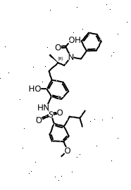 COc1ccc(S(=O)(=O)Nc2cccc(C[C@@H](C)CN(Cc3ccccc3)C(=O)O)c2O)c(CC(C)C)c1